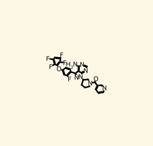 Nc1ncnc2c1c(-c1ccc(Oc3c(F)c(F)cc(F)c3F)cc1F)nn2C1CCCN(C(=O)c2cccnc2)C1